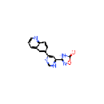 O=c1[nH]c(-c2cc(-c3ccc4ncccc4c3)ncn2)no1